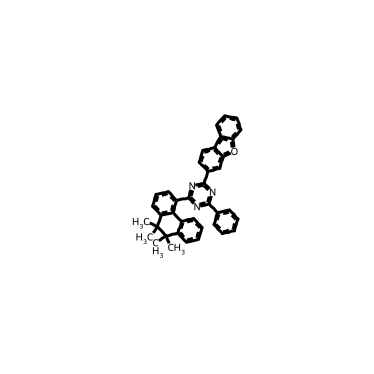 CC1(C)c2ccccc2-c2c(-c3nc(-c4ccccc4)nc(-c4ccc5c(c4)oc4ccccc45)n3)cccc2C1(C)C